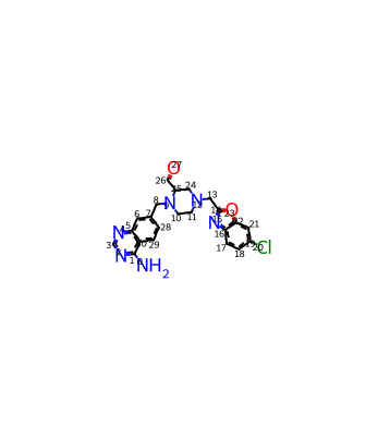 Nc1ncnc2cc(CN3CCN(Cc4nc5ccc(Cl)cc5o4)CC3C=O)ccc12